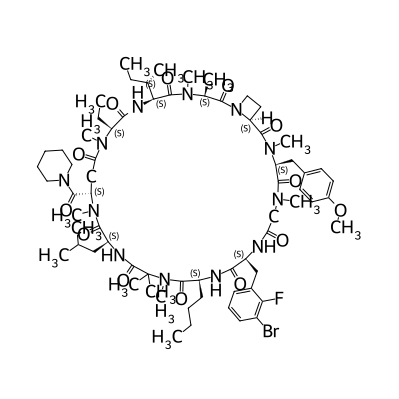 CCCC[C@@H]1NC(=O)[C@H](Cc2cccc(Br)c2F)NC(=O)CN(C)C(=O)[C@H](Cc2ccc(OC)cc2)N(C)C(=O)[C@@H]2CCN2C(=O)[C@H](C)N(C)C(=O)[C@H]([C@@H](C)CC)NC(=O)[C@H](CC)N(C)C(=O)C[C@@H](C(=O)N2CCCCC2)N(C)C(=O)[C@H](CC(C)C)NC(=O)C(C)(C)N(C)C1=O